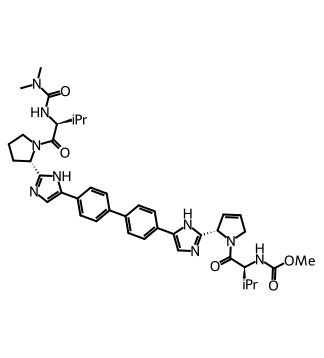 COC(=O)N[C@H](C(=O)N1CC=C[C@H]1c1ncc(-c2ccc(-c3ccc(-c4cnc([C@@H]5CCCN5C(=O)[C@@H](NC(=O)N(C)C)C(C)C)[nH]4)cc3)cc2)[nH]1)C(C)C